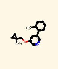 CNC1(COc2cncc(-c3ccccc3C)c2)CC1